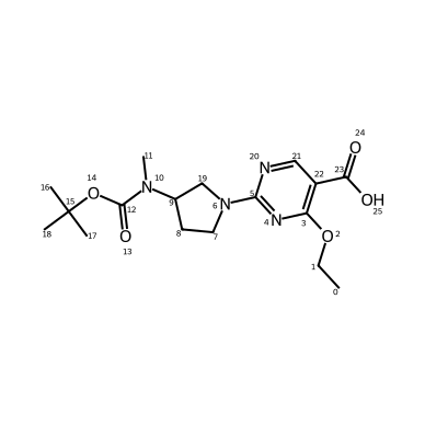 CCOc1nc(N2CCC(N(C)C(=O)OC(C)(C)C)C2)ncc1C(=O)O